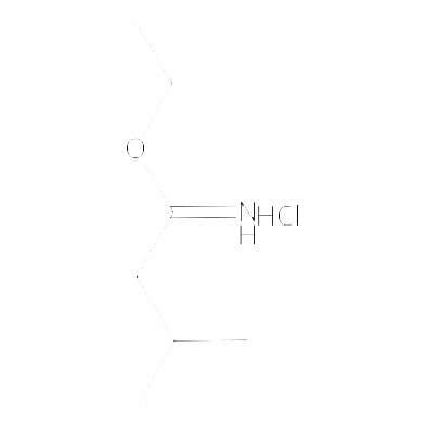 CCOC(=N)CC(C)C.Cl